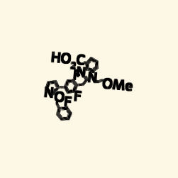 COCCn1c(Cc2c(F)cc(-c3cccnc3OCc3ccccc3F)cc2F)nc2c(C(=O)O)cccc21